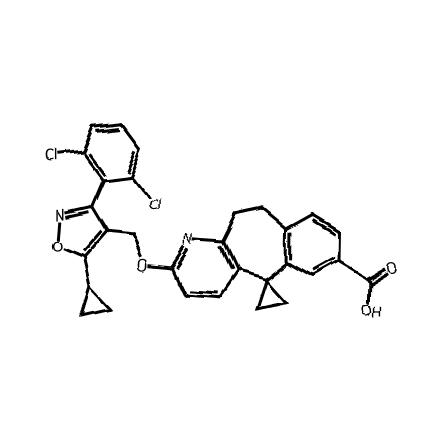 O=C(O)c1ccc2c(c1)C1(CC1)c1ccc(OCc3c(-c4c(Cl)cccc4Cl)noc3C3CC3)nc1CC2